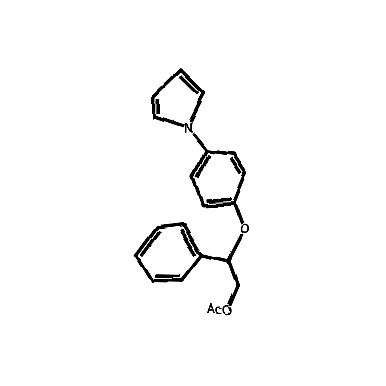 CC(=O)OCC(Oc1ccc(-n2cccc2)cc1)c1ccccc1